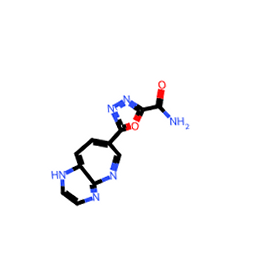 NC(=O)c1nnc(C2=CC=C3NC=CN=C3N=C2)o1